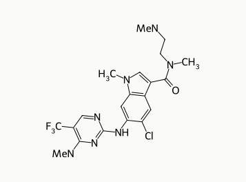 CNCCN(C)C(=O)c1cn(C)c2cc(Nc3ncc(C(F)(F)F)c(NC)n3)c(Cl)cc12